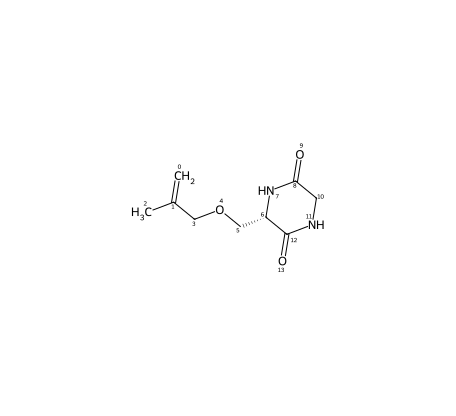 C=C(C)COC[C@@H]1NC(=O)CNC1=O